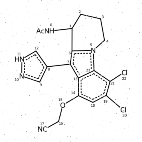 CC(=O)NC1CCCn2c1c(-c1cn[nH]c1)c1c(OCC#N)cc(Cl)c(Cl)c12